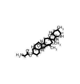 CC1=C2C[C@H]3[C@@H](CC[C@@H]4C[C@H](OC(=O)CN)CC[C@@]43C)[C@@H]2CCC2(C1)O[C@@H]1C[C@H](C)CN[C@H]1[C@H]2C